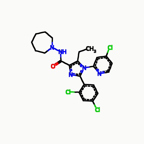 CCc1c(C(=O)NN2CCCCCC2)nc(-c2ccc(Cl)cc2Cl)n1-c1cc(Cl)ccn1